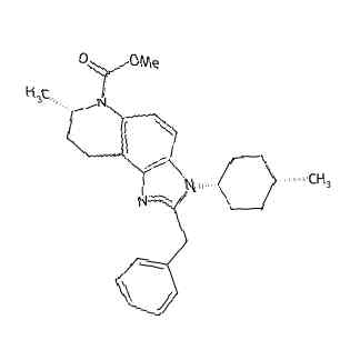 COC(=O)N1c2ccc3c(nc(Cc4ccccc4)n3[C@H]3CC[C@@H](C)CC3)c2CC[C@@H]1C